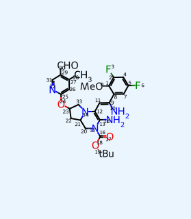 COc1c(F)cc(F)cc1/C(N)=C/C1=C(N)N(C(=O)OC(C)(C)C)CC2CC(Oc3cc(C)c(C=O)cn3)CN12